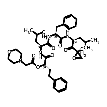 CC(C)C[C@H](NC(=O)[C@H](CCc1ccccc1)OC(=O)CN1CCOCC1)C(=O)N[C@@H](CC1=CCCC=C1)C(=O)N[C@@H](CC(C)C)C(=O)C1(C)CO1